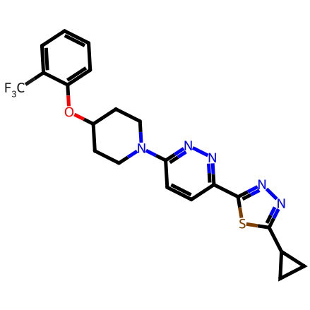 FC(F)(F)c1ccccc1OC1CCN(c2ccc(-c3nnc(C4CC4)s3)nn2)CC1